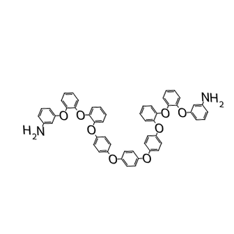 Nc1cccc(Oc2ccccc2Oc2ccccc2Oc2ccc(Oc3ccc(Oc4ccc(Oc5ccccc5Oc5ccccc5Oc5cccc(N)c5)cc4)cc3)cc2)c1